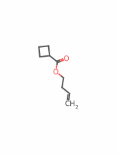 C=CCCOC(=O)C1CCC1